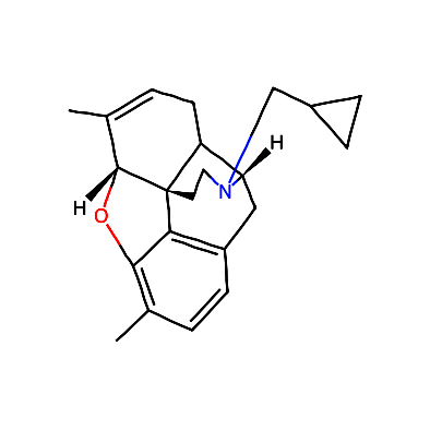 CC1=CCC2[C@@H]3Cc4ccc(C)c5c4[C@]2(CCN3CC2CC2)[C@@H]1O5